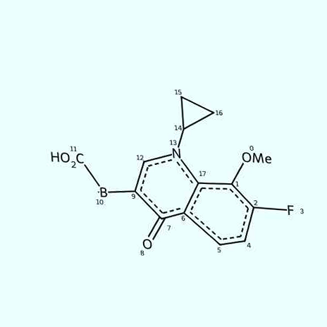 COc1c(F)ccc2c(=O)c([B]C(=O)O)cn(C3CC3)c12